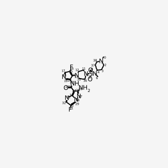 CN1CCC(N(C)S(=O)(=O)N2CCN(c3c(F)cncc3NC(=O)c3c(N)nn4cc(F)cnc34)CC2)CC1